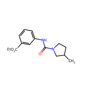 CCOC(=O)c1cccc(NC(=O)N2CCC(C)C2)c1